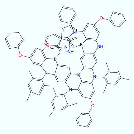 Cc1cc(C)c(N2c3cc4c(cc3B3c5[nH]c6ccccc6c5Oc5cc(Oc6ccccc6)cc2c53)B2c3cc5c(cc3N(c3c(C)cc(C)cc3C)c3cc(Oc6ccccc6)cc(c32)N4c2c(C)cc(C)cc2C)Nc2cc(Oc3ccccc3)cc3c2B5c2[nH]c4ccccc4c2N3c2ccccc2)c(C)c1